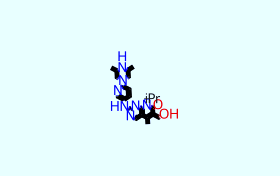 Cc1c(CO)c(=O)n(C(C)C)c2nc(Nc3ccc(N4CC(C)NC(C)C4)nc3)ncc12